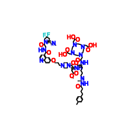 C/N=C/[C@H]1CC(F)(F)CN1C(=O)CNC(=O)c1ccnc2ccc(OCCCN3CCN(C(=O)[C@H](CC(=O)OC)NC(=O)[C@H](CCCC/N=C(\C)NC(=O)CCCc4ccc(C)cc4)NC(=O)CN4CCN(CC(=O)O)CCN(CC(=O)O)CCN(CC(=O)O)CC4)CC3)cc12